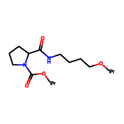 CC(C)OCCCCNC(=O)C1CCCN1C(=O)OC(C)C